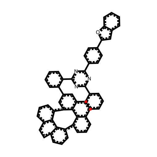 c1ccc(-c2nc(-c3ccc(-c4cc5ccccc5o4)cc3)nc(-c3ccccc3-c3cc4ccc5cccc6c7cccc8ccc9cccc(c(c3)c4c56)c9c87)n2)cc1